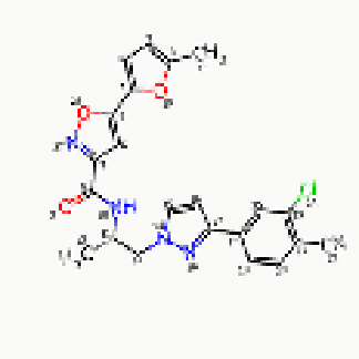 Cc1ccc(-c2cc(C(=O)N[C@@H](C)Cn3ccc(-c4ccc(C#N)c(Cl)c4)n3)no2)o1